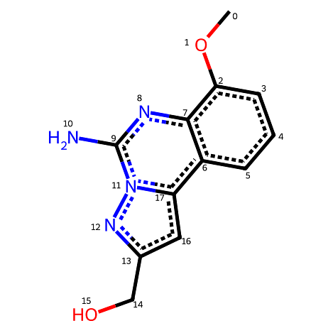 COc1cccc2c1nc(N)n1nc(CO)cc21